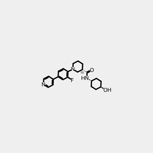 O=C(N[C@H]1CC[C@H](O)CC1)[C@H]1CCCN(c2ccc(-c3ccncc3)cc2F)C1